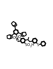 Cc1cc(S(=O)(=O)O)c(C(C)Cc2cccc(Sc3ccccc3)c2)cc1OS(=O)(=O)c1c(C2CC3CCC2C3)cc(C2CC3CCC2C3)cc1C1CC2CCC1C2